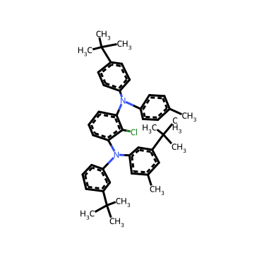 Cc1ccc(N(c2ccc(C(C)(C)C)cc2)c2cccc(N(c3cccc(C(C)(C)C)c3)c3cc(C)cc(C(C)(C)C)c3)c2Cl)cc1